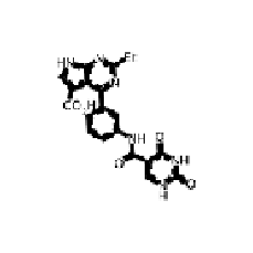 CCc1nc(-c2cccc(NC(=O)c3c[nH]c(=O)[nH]c3=O)c2)c2c(C(=O)O)c[nH]c2n1